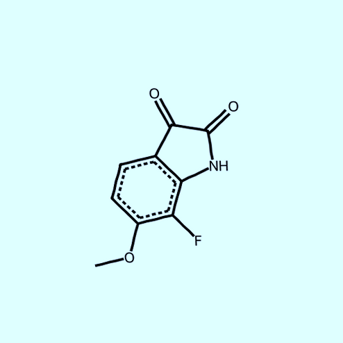 COc1ccc2c(c1F)NC(=O)C2=O